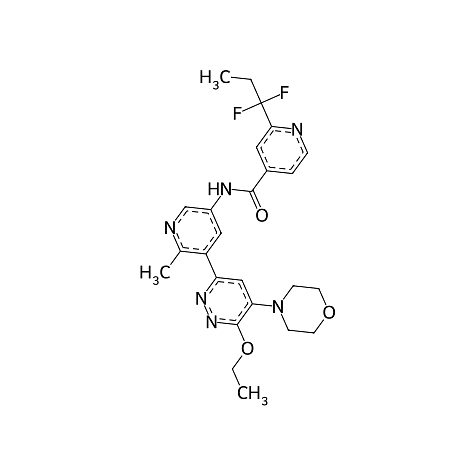 CCOc1nnc(-c2cc(NC(=O)c3ccnc(C(F)(F)CC)c3)cnc2C)cc1N1CCOCC1